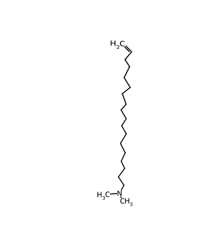 C=CCCCCCCCCCCCCCCCCN(C)C